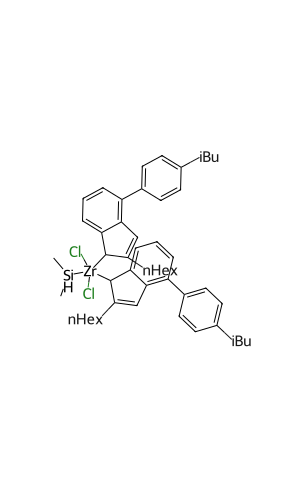 CCCCCCC1=Cc2c(-c3ccc(C(C)CC)cc3)cccc2[CH]1[Zr]([Cl])([Cl])([CH]1C(CCCCCC)=Cc2c(-c3ccc(C(C)CC)cc3)cccc21)[SiH](C)C